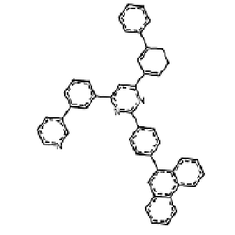 C1=C(c2ccccc2)CCC=C1c1cc(-c2cccc(-c3cccnc3)c2)nc(-c2ccc(-c3cc4ccccc4c4ccccc34)cc2)n1